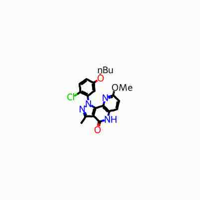 CCCCOc1ccc(Cl)c(-n2nc(C)c3c(=O)[nH]c4ccc(OC)nc4c32)c1